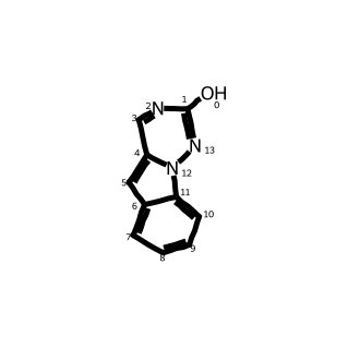 Oc1ncc2cc3ccccc3n2n1